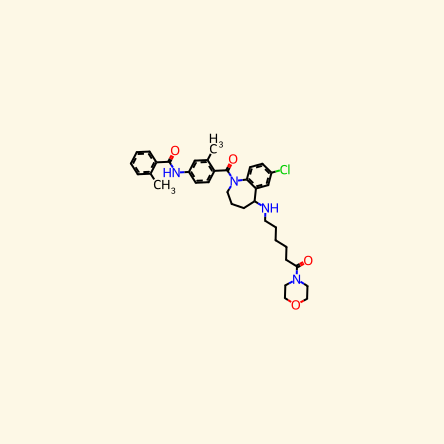 Cc1ccccc1C(=O)Nc1ccc(C(=O)N2CCCC(NCCCCCC(=O)N3CCOCC3)c3cc(Cl)ccc32)c(C)c1